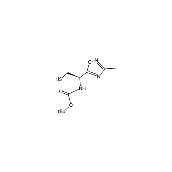 Cc1noc([C@H](CS)NC(=O)OC(C)(C)C)n1